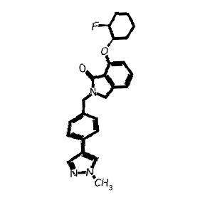 Cn1cc(-c2ccc(CN3Cc4cccc(O[C@@H]5CCCC[C@@H]5F)c4C3=O)cc2)cn1